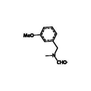 COc1cccc(CN(C)[C]=O)c1